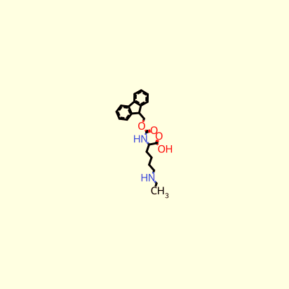 CCNCCCCC(NC(=O)OCC1c2ccccc2-c2ccccc21)C(=O)O